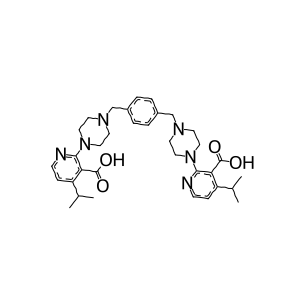 CC(C)c1ccnc(N2CCN(Cc3ccc(CN4CCN(c5nccc(C(C)C)c5C(=O)O)CC4)cc3)CC2)c1C(=O)O